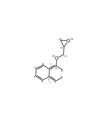 C/C=c1/cccc/c1=C(/C)OCC1CO1